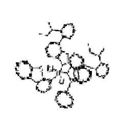 CCC(C)c1ccccc1-c1cccc2c1C=C(c1ccccc1)[CH]2[Hf]([Cl])([Cl])([c]1cccc2c1[SiH2]c1ccccc1-2)[CH]1C(c2ccccc2)=Cc2c(-c3ccccc3C(C)CC)cccc21